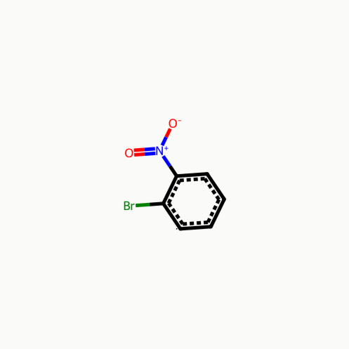 O=[N+]([O-])c1ccc[c]c1Br